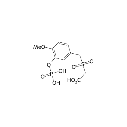 COc1ccc(CS(=O)(=O)CC(=O)O)cc1OP(=O)(O)O